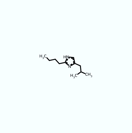 CCCCc1nc(CC(C)C)c[nH]1